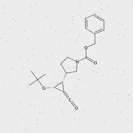 CC(C)(C)O[C@H]1C(=C=O)[C@H]1C1CCN(C(=O)OCc2ccccc2)C1